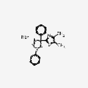 Br.Cc1nc(C2(c3ccccc3)[N]N(c3ccccc3)N=N2)sc1C